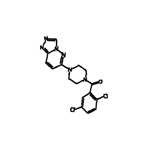 O=C(c1cc(Cl)ccc1Cl)N1CCN(c2ccc3nncn3n2)CC1